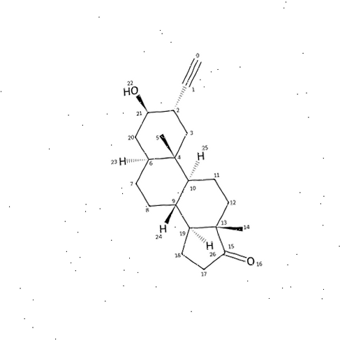 C#C[C@@H]1C[C@@]2(C)[C@@H](CC[C@@H]3[C@@H]2CC[C@]2(C)C(=O)CC[C@@H]32)C[C@H]1O